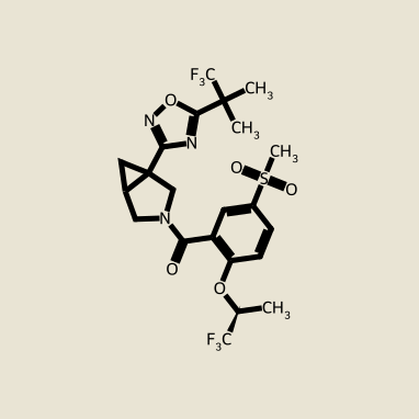 C[C@H](Oc1ccc(S(C)(=O)=O)cc1C(=O)N1CC2CC2(c2noc(C(C)(C)C(F)(F)F)n2)C1)C(F)(F)F